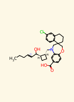 CCC/C=C/C(O)[C@@H]1CC[C@H]1CN1CC2(CCCc3cc(Cl)ccc32)COc2ccc(C(=O)O)cc21